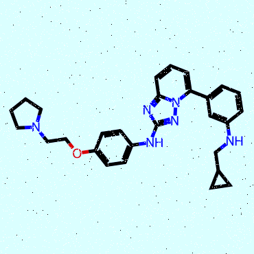 c1cc(NCC2CC2)cc(-c2cccc3nc(Nc4ccc(OCCN5CCCC5)cc4)nn23)c1